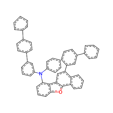 c1ccc(-c2ccc(-c3cccc(N(c4ccccc4)c4cccc5oc6c7ccccc7c(-c7cccc(-c8ccccc8)c7)cc6c45)c3)cc2)cc1